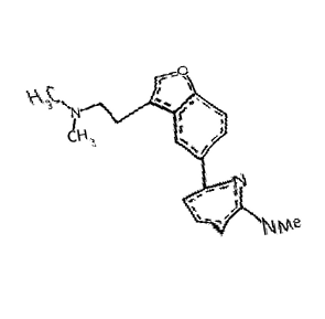 CNc1cccc(-c2ccc3occ(CCN(C)C)c3c2)n1